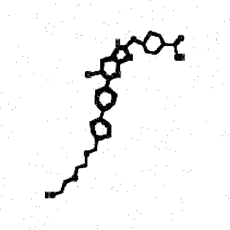 O=C(O)C1CCC(Oc2nc3nc(-c4ccc(-c5ccc(COCCOCCO)cc5)cc4)c(Cl)cc3[nH]2)CC1